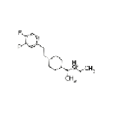 CC[SiH2]C(C)[C@H]1CC[C@H](CCc2ccc(F)c(F)c2)CC1